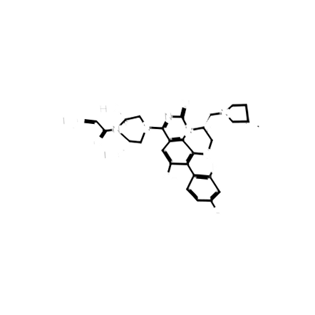 C=CC(=O)N1[C@H](C)CN(c2nc(=O)n3c4c(c(-c5ccc(F)cc5F)c(C)cc24)SC[C@@H]3CN2CC[C@H](F)C2)C[C@@H]1C